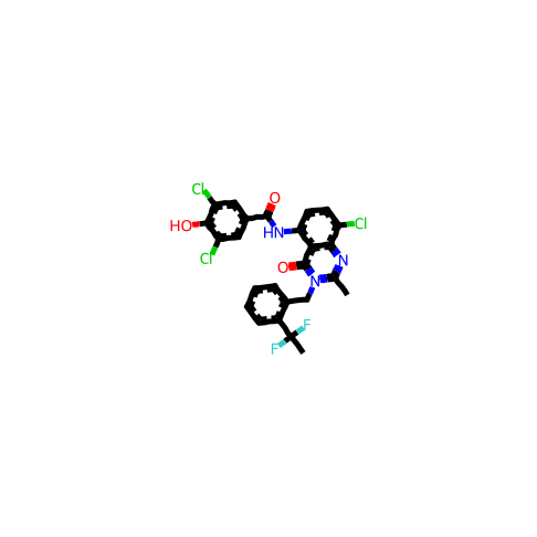 Cc1nc2c(Cl)ccc(NC(=O)c3cc(Cl)c(O)c(Cl)c3)c2c(=O)n1Cc1ccccc1C(C)(F)F